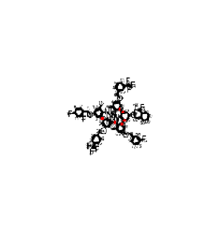 Cc1cc(OCc2ccc(F)cc2F)cc(C)c1NN(c1c(C)cc(OCc2ccc(C(F)(F)F)cc2)cc1C)N(c1c(C)cc(OCc2cccc(C(F)(F)F)c2)cc1C)N(Nc1c(C)cc(OCc2cccc(F)c2)cc1C)c1c(C)cc(OCc2ccccc2C(F)(F)F)cc1C